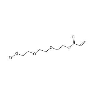 C=CC(=O)OCCOCCOCCOCC